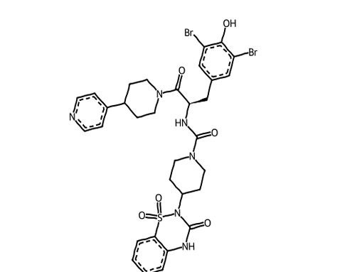 O=C(N[C@H](Cc1cc(Br)c(O)c(Br)c1)C(=O)N1CCC(c2ccncc2)CC1)N1CCC(N2C(=O)Nc3ccccc3S2(=O)=O)CC1